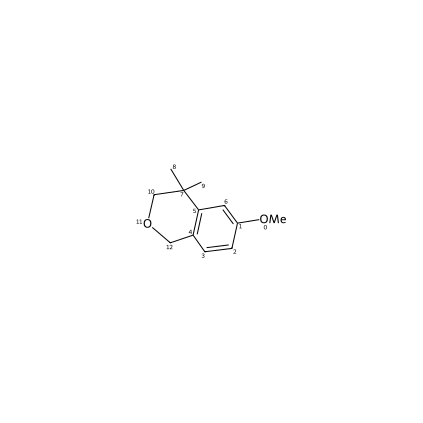 COc1ccc2c(c1)C(C)(C)COC2